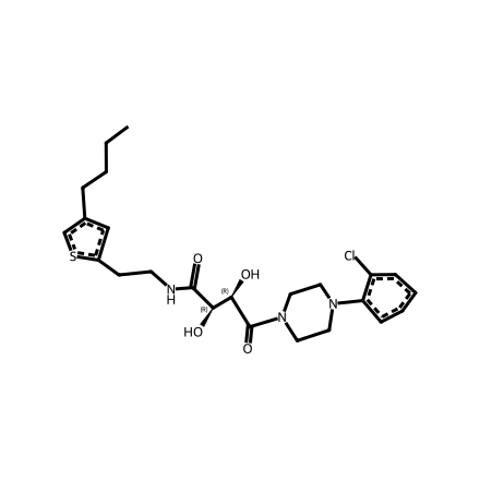 CCCCc1csc(CCNC(=O)[C@H](O)[C@@H](O)C(=O)N2CCN(c3ccccc3Cl)CC2)c1